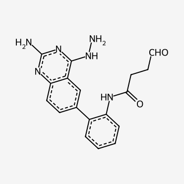 NNc1nc(N)nc2ccc(-c3ccccc3NC(=O)CCC=O)cc12